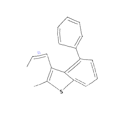 C/C=C\c1c(C)sc2cccc(-c3ccccc3)c12